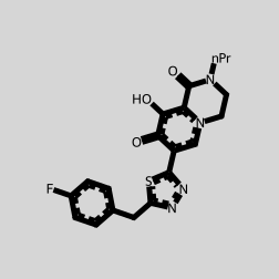 CCCN1CCn2cc(-c3nnc(Cc4ccc(F)cc4)s3)c(=O)c(O)c2C1=O